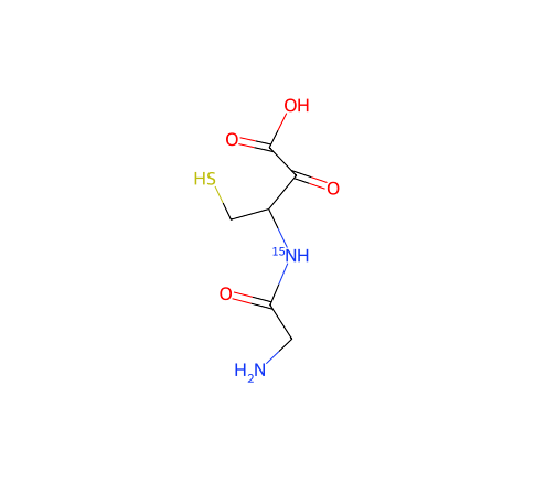 NCC(=O)[15NH]C(CS)C(=O)C(=O)O